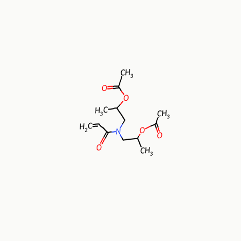 C=CC(=O)N(CC(C)OC(C)=O)CC(C)OC(C)=O